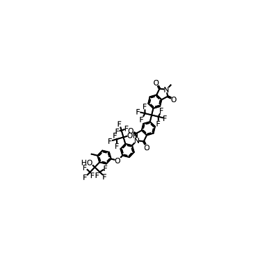 Cc1ccc(Oc2ccc(N3C(=O)c4ccc(C(c5ccc6c(c5)C(=O)N(C)C6=O)(C(F)(F)F)C(F)(F)F)cc4C3=O)c(C(O)(C(F)(F)F)C(F)(F)F)c2)cc1C(O)(C(F)(F)F)C(F)(F)F